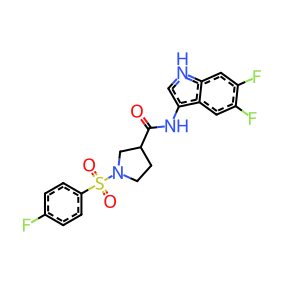 O=C(Nc1c[nH]c2cc(F)c(F)cc12)C1CCN(S(=O)(=O)c2ccc(F)cc2)C1